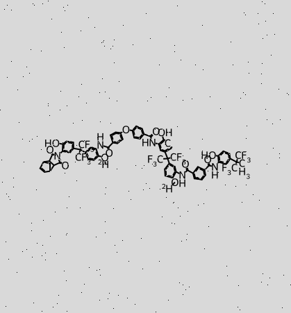 [2H]Oc1ccc(C(c2ccc(O)c(NC(=O)c3ccc(Oc4ccc(C(=O)Nc5cc(C(c6ccc(O)c(N7C(=O)C8C9C=CC(C9)C8C7=O)c6)(C(F)(F)F)C(F)(F)F)ccc5O[2H])cc4)cc3)c2)(C(F)(F)F)C(F)(F)F)cc1NC(=O)c1cccc(C(=O)Nc2cc(C(C)(C(F)(F)F)C(F)(F)F)ccc2O)c1